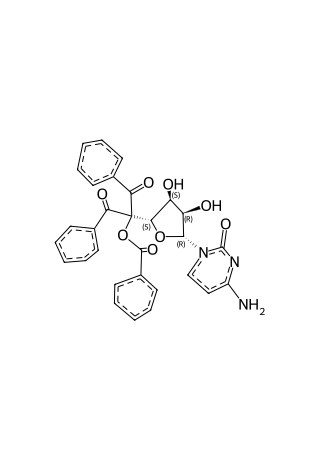 Nc1ccn([C@@H]2O[C@H](C(OC(=O)c3ccccc3)(C(=O)c3ccccc3)C(=O)c3ccccc3)[C@@H](O)[C@H]2O)c(=O)n1